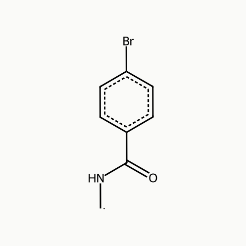 [CH2]NC(=O)c1ccc(Br)cc1